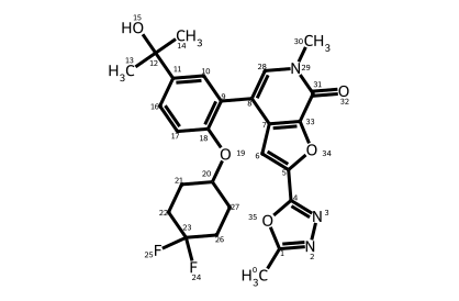 Cc1nnc(-c2cc3c(-c4cc(C(C)(C)O)ccc4OC4CCC(F)(F)CC4)cn(C)c(=O)c3o2)o1